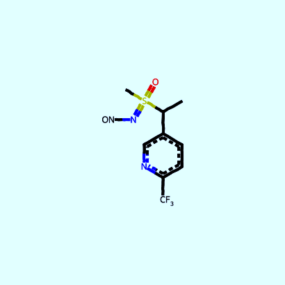 CC(c1ccc(C(F)(F)F)nc1)S(C)(=O)=NN=O